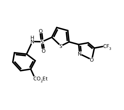 CCOC(=O)c1cccc(NS(=O)(=O)c2ccc(-c3cc(C(F)(F)F)on3)s2)c1